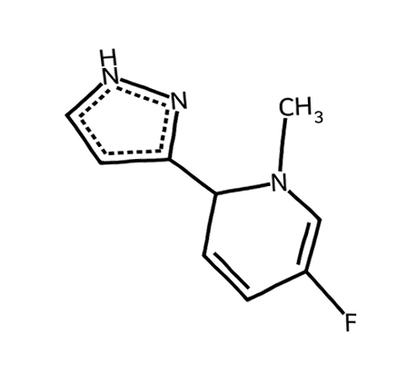 CN1C=C(F)C=CC1c1cc[nH]n1